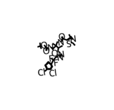 Cc1nc(C)c(C(=O)N2CC(c3nnc(C(F)(F)c4ccc(Cl)c(Cl)c4)o3)C3(CN(C(=O)OC(C)(C)C)C3)C2)s1